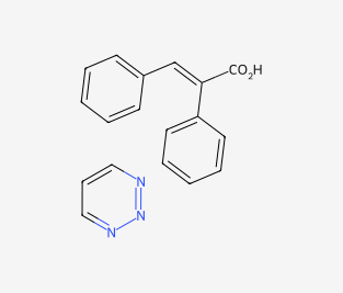 O=C(O)C(=Cc1ccccc1)c1ccccc1.c1cnnnc1